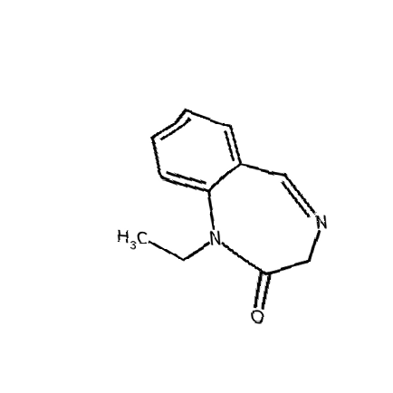 CCN1C(=O)CN=Cc2ccccc21